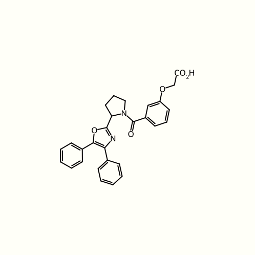 O=C(O)COc1cccc(C(=O)N2CCCC2c2nc(-c3ccccc3)c(-c3ccccc3)o2)c1